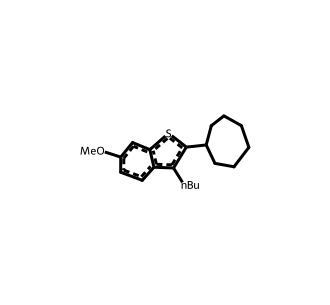 CCCCc1c(C2CCCCCC2)sc2cc(OC)ccc12